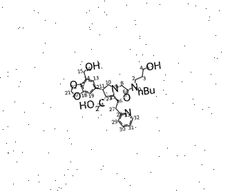 CCCCN(CCCO)C(=O)CN1C[C@H](c2cc(CO)c3c(c2)OCO3)[C@@H](C(=O)O)[C@@H]1CCc1ccccn1